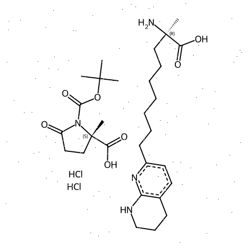 CC(C)(C)OC(=O)N1C(=O)CC[C@@]1(C)C(=O)O.C[C@@](N)(CCCCCCCc1ccc2c(n1)NCCC2)C(=O)O.Cl.Cl